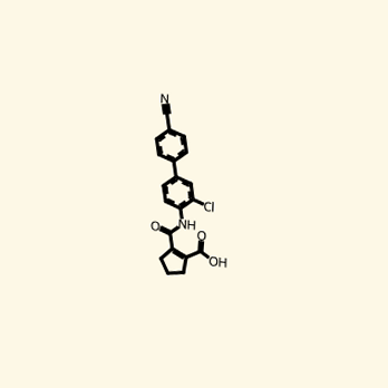 N#Cc1ccc(-c2ccc(NC(=O)C3=C(C(=O)O)CCC3)c(Cl)c2)cc1